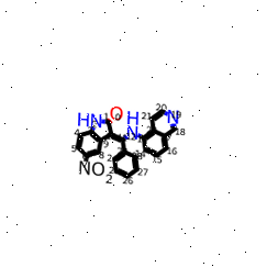 O=C1Nc2ccc([N+](=O)[O-])cc2C1=C(Nc1cccc2cnccc12)c1ccccc1